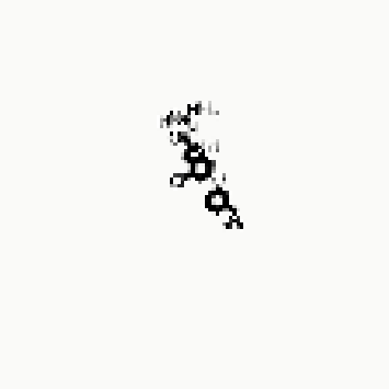 CNC(N)=NC(=O)c1cc2c(Cl)cc(Oc3cccc(CN(C)C)c3)cc2[nH]1